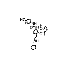 N#Cc1cnc(NC(=O)Nc2ccc(CCNCC3CCCCC3)c(Cl)c2)cn1.O=C(O)C(F)(F)F